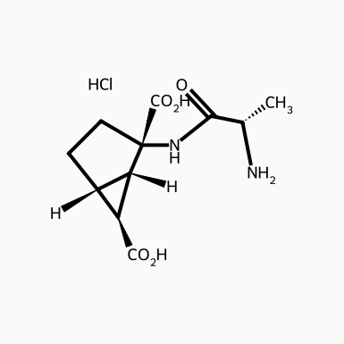 C[C@H](N)C(=O)N[C@@]1(C(=O)O)CC[C@H]2[C@H](C(=O)O)[C@H]21.Cl